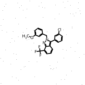 COc1cccc(Cn2nc3c(C(F)(F)F)cccc3c2-c2cccc(Cl)c2)c1